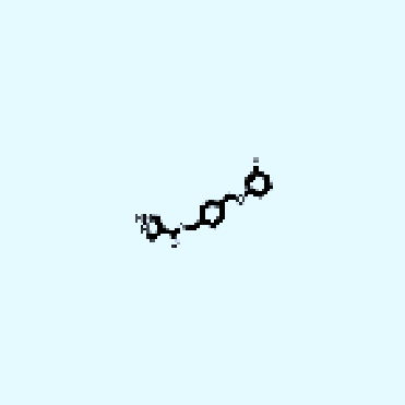 O=C(NCC1CCC(COc2cccc(F)c2)CC1)c1cn[nH]c1